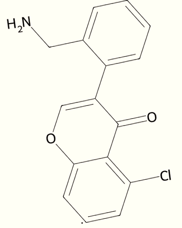 NCc1ccccc1-c1coc2c[c]cc(Cl)c2c1=O